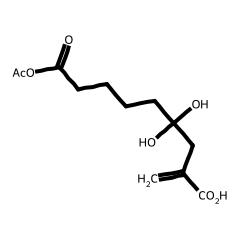 C=C(CC(O)(O)CCCCC(=O)OC(C)=O)C(=O)O